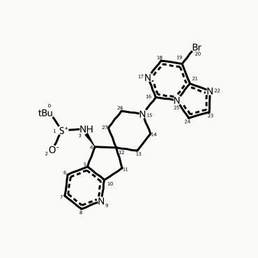 CC(C)(C)[S+]([O-])N[C@@H]1c2cccnc2CC12CCN(c1ncc(Br)c3nccn13)CC2